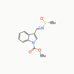 CC(C)(C)OC(=O)n1cc(/C=N/[S+]([O-])C(C)(C)C)c2ccccc21